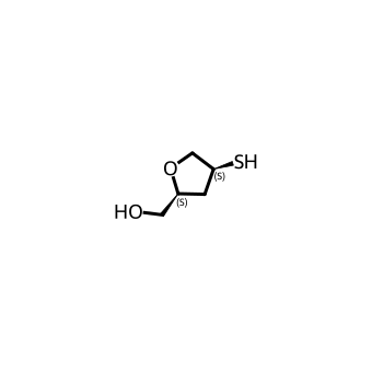 OC[C@@H]1C[C@H](S)CO1